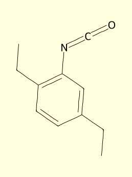 CCc1ccc(CC)c(N=C=O)c1